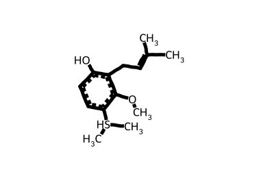 COc1c([SH](C)C)ccc(O)c1CC=C(C)C